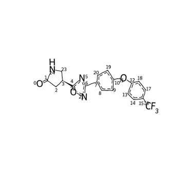 O=C1C[C@H](c2nc(-c3ccc(Oc4ccc(C(F)(F)F)cc4)cc3)no2)CN1